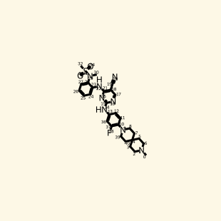 CN1CCC2(CC1)CCN(c1ccc(Nc3ncc(C#N)c(Nc4ccccc4N(C)S(C)(=O)=O)n3)cc1F)CC2